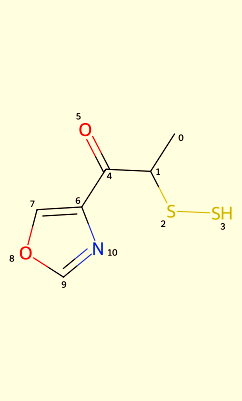 CC(SS)C(=O)c1cocn1